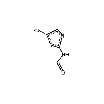 O=CNc1n[c]c(Cl)s1